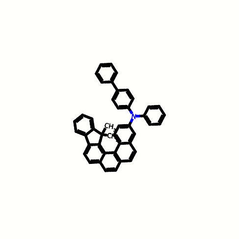 CC1(C)c2ccccc2-c2ccc3ccc4ccc5cc(N(c6ccccc6)c6ccc(-c7ccccc7)cc6)ccc5c4c3c21